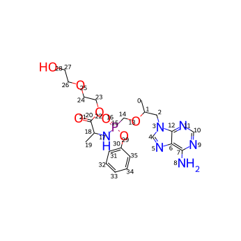 CC(Cn1cnc2c(N)ncnc21)OCP(=O)(NC(C)C(=O)OCCOCCO)Oc1ccccc1